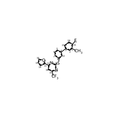 Cc1cc(-c2cccc(Sc3nc(-c4ccco4)cc(C(F)(F)F)n3)c2)ccc1F